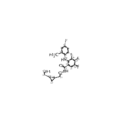 Cc1cc(I)ccc1Nc1c(C(=O)NOCC2CC2CO)cc(F)c(F)c1F